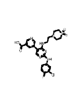 O=C(O)c1cncc(-c2cnc(Nc3ccc(F)c(Cl)c3)nc2NCCN2CCS(=O)(=O)CC2)c1